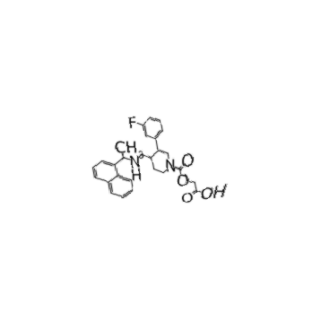 C[C@@H](NCC1CCN(C(=O)OCC(=O)O)CC1c1cccc(F)c1)c1cccc2ccccc12